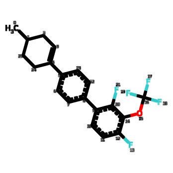 CC1CC=C(c2ccc(-c3ccc(F)c(OC(F)(F)F)c3F)cc2)CC1